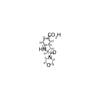 CC1(C(=O)N2CCOCC2)Cc2cc(C(=O)O)ccc2N1